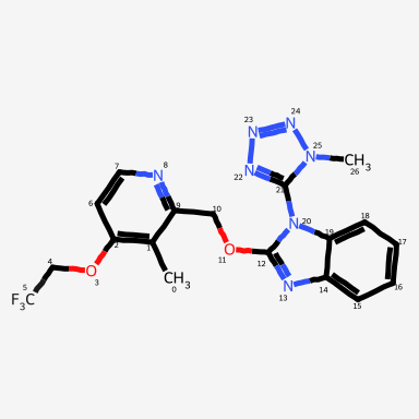 Cc1c(OCC(F)(F)F)ccnc1COc1nc2ccccc2n1-c1nnnn1C